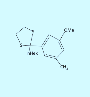 CCCCCCC1(c2cc(C)cc(OC)c2)SCCS1